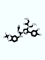 CCN(C(=O)CO)C1CN(/C(=N\C#N)Nc2ccc(F)c(OC(F)(F)F)c2)N=C1c1ccc(Cl)c(Cl)c1